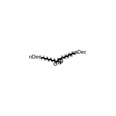 CCCCCCCCCCCCCCCCCCC(=O)C1=NOC(CCCCCCCCCCCCCCCCCC)C1